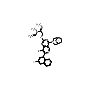 C=CN(C)/C(COc1nc(N2CC3CCC(C2)N3)c2cnc(-c3cc(O)cc4ccccc34)c(F)c2n1)=N\C